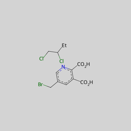 CCC(Cl)CCl.O=C(O)c1cc(CBr)cnc1C(=O)O